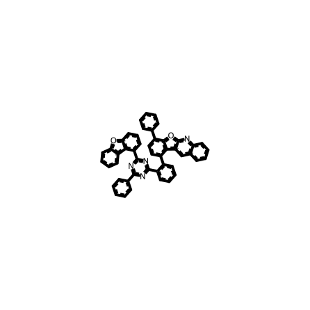 c1ccc(-c2nc(-c3ccccc3-c3ccc(-c4ccccc4)c4oc5nc6ccccc6cc5c34)nc(-c3cccc4oc5ccccc5c34)n2)cc1